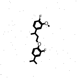 COc1cc(C(C)CCOc2ccc(C(C)C)cc2F)ccc1F